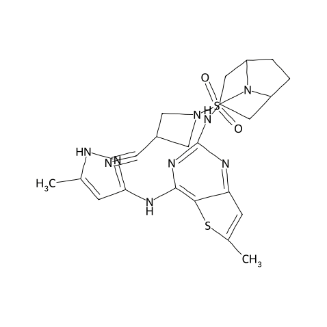 Cc1cc(Nc2nc(NC3CC4CCC(C3)N4S(=O)(=O)N3CC(C#N)C3)nc3cc(C)sc23)n[nH]1